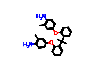 Cc1cc(Oc2ccccc2C(C)(C)c2ccccc2Oc2ccc(N)c(C)c2)ccc1N